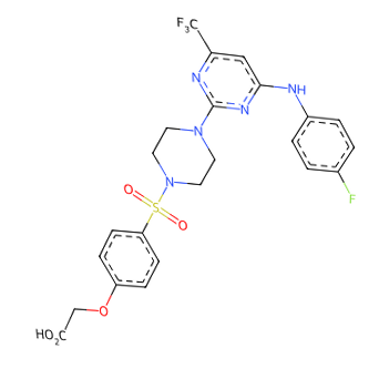 O=C(O)COc1ccc(S(=O)(=O)N2CCN(c3nc(Nc4ccc(F)cc4)cc(C(F)(F)F)n3)CC2)cc1